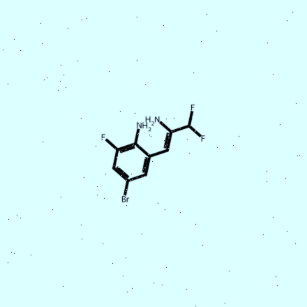 N/C(=C\c1cc(Br)cc(F)c1N)C(F)F